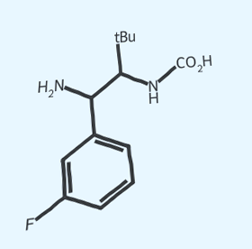 CC(C)(C)C(NC(=O)O)C(N)c1cccc(F)c1